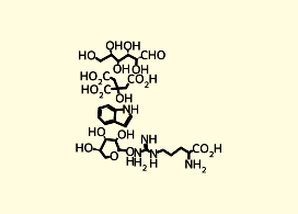 N=C(N)NCCCC(N)C(=O)O.O=C(O)CC(O)(CC(=O)O)C(=O)O.O=C[C@H](O)[C@@H](O)[C@H](O)[C@H](O)CO.OC1OC[C@@H](O)[C@H](O)[C@H]1O.c1ccc2[nH]ccc2c1